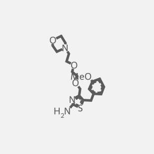 COc1cccc(Cc2sc(N)nc2COCCOCCN2CCOCC2)c1